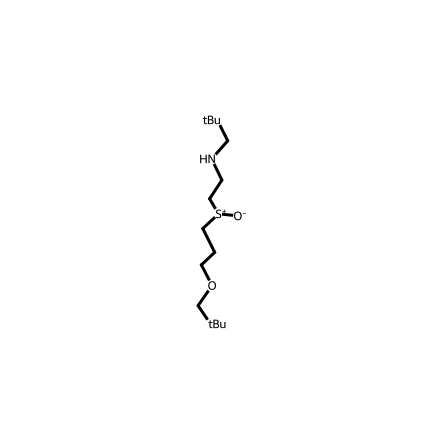 CC(C)(C)CNCC[S+]([O-])CCCOCC(C)(C)C